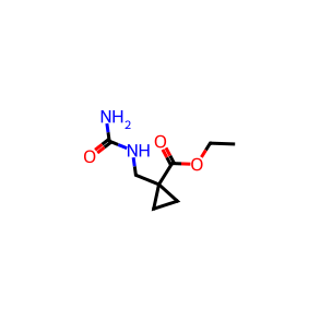 CCOC(=O)C1(CNC(N)=O)CC1